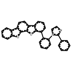 c1ccc(-c2nccn2-c2ccccc2-c2cccc3c2oc2c3ccc3c4ccccc4oc32)cc1